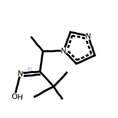 CC(/C(=N/O)C(C)(C)C)n1ccnc1